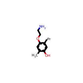 Cc1cc(OCCN)c(C(C)C)cc1O